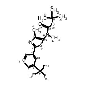 Cc1nc(-c2cncc(C(F)(F)F)c2)sc1N(C)C(=O)OC(C)(C)C